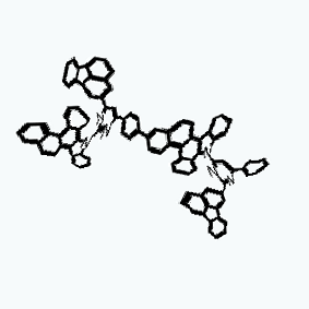 c1ccc(-c2cc(-n3c4ccccc4c4c5ccc6cc(-c7ccc(-c8cc(-c9cc%10c%11c(cccc%11c9)-c9ccccc9-%10)nc(-n9c%10ccccc%10c%10c%11ccc%12ccccc%12c%11c%11ccccc%11c%109)n8)cc7)ccc6c5c5ccccc5c43)nc(-c3cc4c5c(cccc5c3)-c3ccccc3-4)n2)cc1